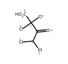 CCC(Cl)C(=O)C(Cl)(Cl)C(=O)O